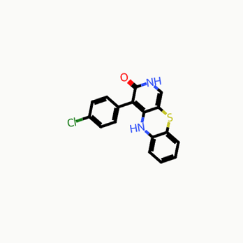 O=c1[nH]cc2c(c1-c1ccc(Cl)cc1)Nc1ccccc1S2